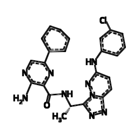 C[C@H](NC(=O)c1nc(-c2ccccc2)cnc1N)c1nnc2ccc(Nc3cccc(Cl)c3)nn12